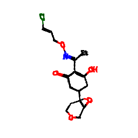 CCC(=NOC/C=C/Cl)C1=C(O)CC(C23CCOCC2O3)CC1=O